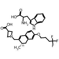 C[C@H]1Cc2cc(OCCCC(F)(F)F)ccc2C=C1CN1CC(C(=O)O)C1.NC(Cc1c[nH]c2ccccc12)C(=O)O